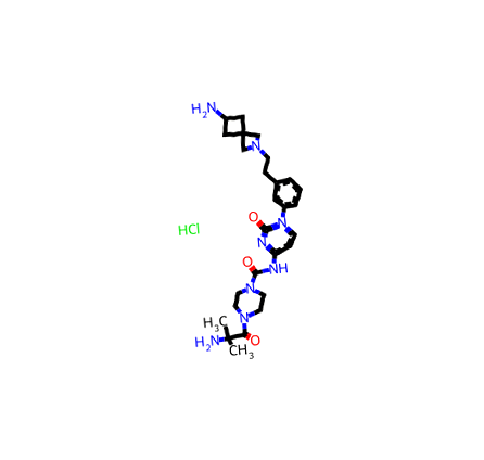 CC(C)(N)C(=O)N1CCN(C(=O)Nc2ccn(-c3cccc(CCN4CC5(CC(N)C5)C4)c3)c(=O)n2)CC1.Cl